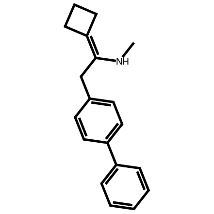 CNC(Cc1ccc(-c2ccccc2)cc1)=C1CCC1